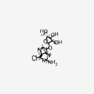 Nc1nc(Cl)c2ncn(O[C@H]3O[C@H](CO)[C@@H](O)[C@H]3O)c2n1